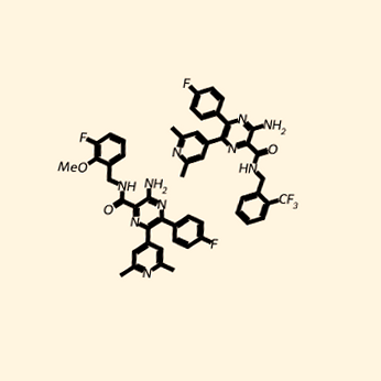 COc1c(F)cccc1CNC(=O)c1nc(-c2cc(C)nc(C)c2)c(-c2ccc(F)cc2)nc1N.Cc1cc(-c2nc(C(=O)NCc3ccccc3C(F)(F)F)c(N)nc2-c2ccc(F)cc2)cc(C)n1